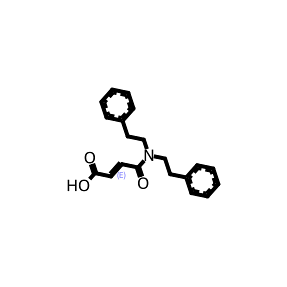 O=C(O)/C=C/C(=O)N(CCc1ccccc1)CCc1ccccc1